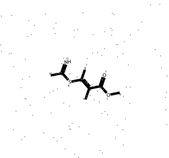 COC(=O)/C(C)=C(\I)SC(C)=N